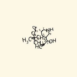 C#CC(O)C1CCCNC1.CC(C)(C)OC=O